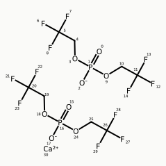 O=P([O-])(OCC(F)(F)F)OCC(F)(F)F.O=P([O-])(OCC(F)(F)F)OCC(F)(F)F.[Ca+2]